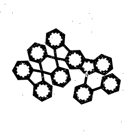 c1ccc(-c2ccccc2-n2c3ccccc3c3cc4c(cc32)C2(c3ccccc3-4)c3ccccc3C3(c4ccccc4-c4ccccc43)c3ccccc32)cc1